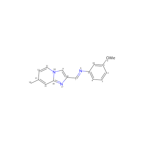 COc1cccc(/N=C/c2cn3ccc(C)cc3n2)c1